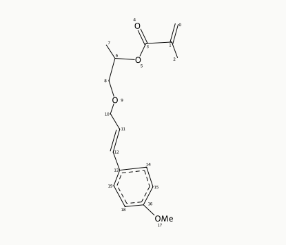 C=C(C)C(=O)OC(C)COCC=Cc1ccc(OC)cc1